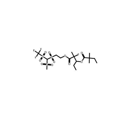 CCC(OC(=O)C(C)(C)CC)C(C)(F)C(=O)OCCS(=O)(=O)C(S(C)(=O)=O)S(=O)(=O)C(F)(F)F